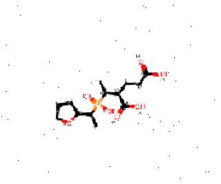 CC(C1CCCO1)P(=O)(O)C(C)C(CCC(=O)O)C(=O)O